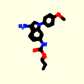 CCCOC(=O)Nc1ccc2c(N)cn(-c3ccc(OC)cc3)c2c1